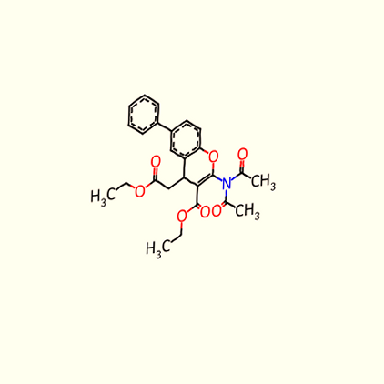 CCOC(=O)CC1C(C(=O)OCC)=C(N(C(C)=O)C(C)=O)Oc2ccc(-c3ccccc3)cc21